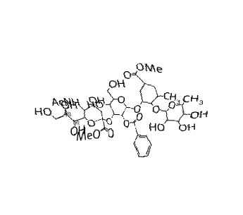 COC(=O)C1CC(C)C(OC2OC(C)C(O)C(O)C2O)C(OC2OC(CO)C(O)C(OC3(C(=O)OC)CC(O)C(NC(C)=O)C([C@H](O)[C@H](O)CO)O3)C2OC(=O)c2ccccc2)C1